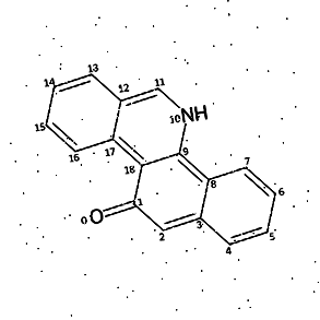 O=c1cc2ccccc2c2[nH]cc3ccccc3c1-2